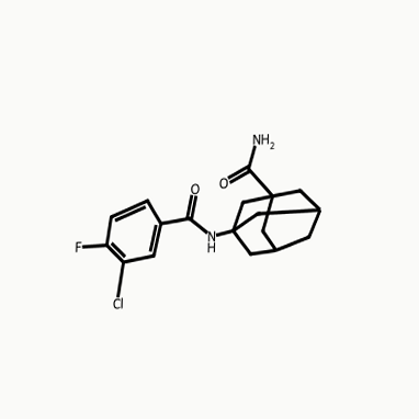 NC(=O)C12CC3CC(CC(NC(=O)c4ccc(F)c(Cl)c4)(C3)C1)C2